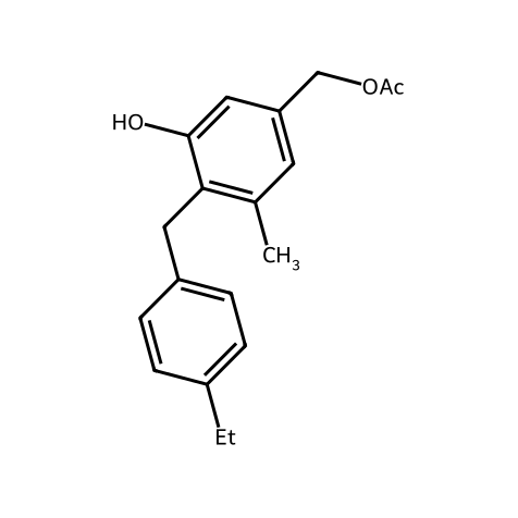 CCc1ccc(Cc2c(C)cc(COC(C)=O)cc2O)cc1